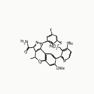 CCCCc1ccnc(-c2cc3c(cc2OC)OC(C)c2c(C(N)=O)nn(-c4cc(F)cc(F)c4)c2-3)c1C(=O)O